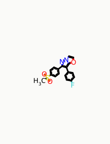 CS(=O)(=O)c1ccc(-c2nn3ccoc3c2-c2ccc(F)cc2)cc1